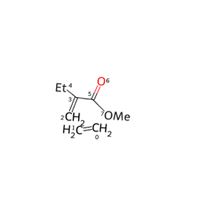 C=C.C=C(CC)C(=O)OC